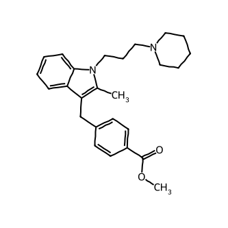 COC(=O)c1ccc(Cc2c(C)n(CCCN3CCCCC3)c3ccccc23)cc1